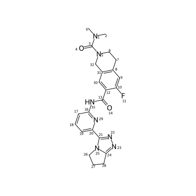 CN(C)C(=O)N1CCc2cc(F)c(C(=O)Nc3cccc(-c4nnc5n4CCC5)n3)cc2C1